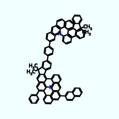 CC1(C)c2ccccc2-c2c(-c3ccccc3N(c3cccc(-c4ccc(-c5ccc6c(c5)C(C)(C)c5cccc(-c7ccccc7N(c7cccc(-c8ccc9ccccc9c8)c7)c7cccc(-c8ccccc8)c7-c7ccccc7-c7ccccc7)c5-6)cc4)c3)c3cccc(-c4ccccc4)c3-c3ccccc3-c3ccccc3)cccc21